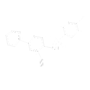 C#Cc1cc(-c2ccccc2)ccc1NS(=O)(=O)c1ccc(C)cc1